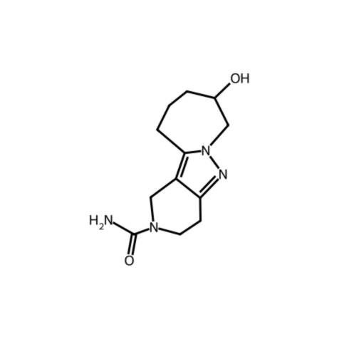 NC(=O)N1CCc2nn3c(c2C1)CCCC(O)C3